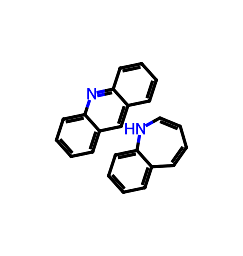 C1=CNc2ccccc2C=C1.c1ccc2nc3ccccc3cc2c1